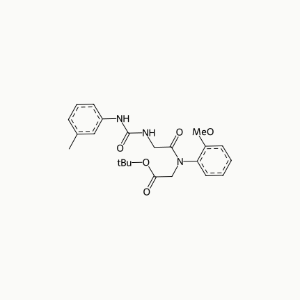 COc1ccccc1N(CC(=O)OC(C)(C)C)C(=O)CNC(=O)Nc1cccc(C)c1